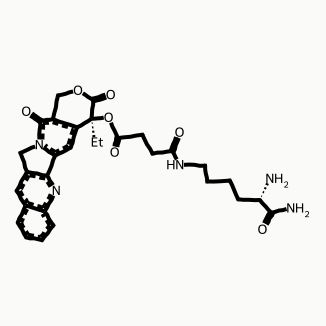 CC[C@@]1(OC(=O)CCC(=O)NCCCC[C@H](N)C(N)=O)C(=O)OCc2c1cc1n(c2=O)Cc2cc3ccccc3nc2-1